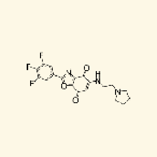 O=C1C(NCCN2CCCC2)=CC(=O)c2oc(-c3cc(F)c(F)c(F)c3)nc21